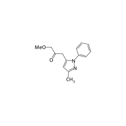 COCC(=O)Cc1cc(C)nn1-c1ccccc1